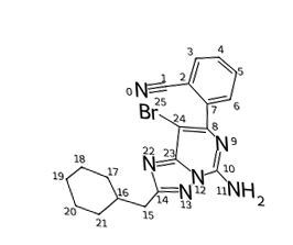 N#Cc1ccccc1-c1nc(N)n2nc(CC3CCCCC3)nc2c1Br